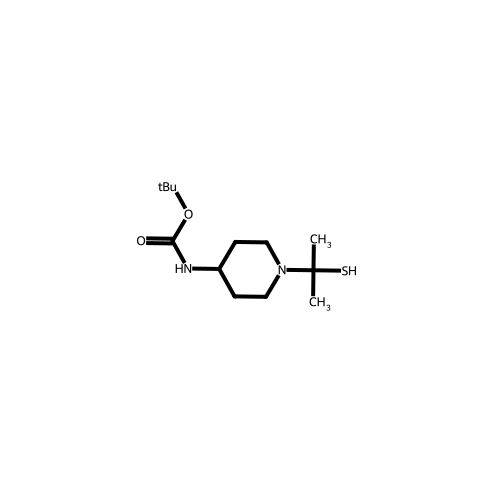 CC(C)(C)OC(=O)NC1CCN(C(C)(C)S)CC1